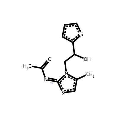 CC(=O)/N=c1/scc(C)n1CC(O)c1cccs1